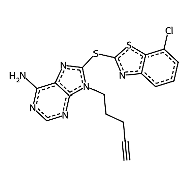 C#CCCCn1c(Sc2nc3cccc(Cl)c3s2)nc2c(N)ncnc21